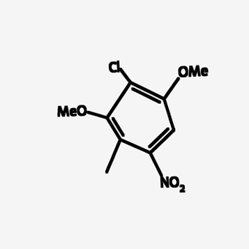 COc1cc([N+](=O)[O-])c(C)c(OC)c1Cl